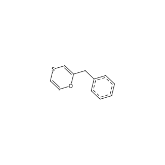 [C]1=CSC=C(Cc2ccccc2)O1